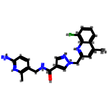 Cc1nc(N)ccc1CNC(=O)c1cnn(Cc2cc(C(F)(F)F)c3cccc(F)c3n2)c1